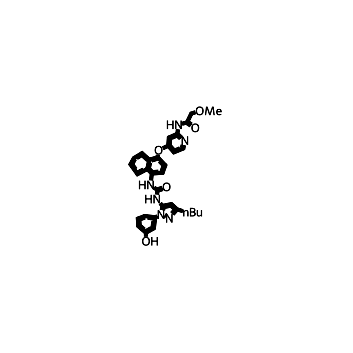 CCCCc1cc(NC(=O)Nc2ccc(Oc3ccnc(NC(=O)COC)c3)c3ccccc23)n(-c2cccc(O)c2)n1